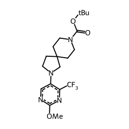 COc1ncc(N2CCC3(CCN(C(=O)OC(C)(C)C)CC3)C2)c(C(F)(F)F)n1